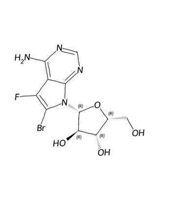 Nc1ncnc2c1c(F)c(Br)n2[C@@H]1O[C@H](CO)[C@H](O)[C@H]1O